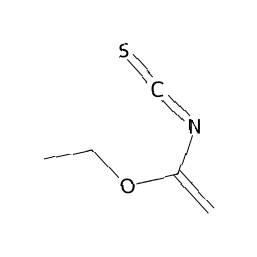 C=C(N=C=S)OCC